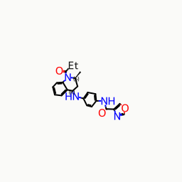 CCC(=O)N1c2ccccc2[C@H](Nc2ccc(NC(=O)c3cocn3)cc2)C[C@@H]1C